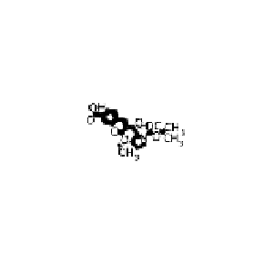 CCOC(=O)C(=Cc1ccc(C(=O)O)cc1)C(=O)C1CCCN1C(=O)OC(C)(C)C